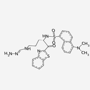 CN(C)c1cccc2c(S(=O)(=O)N[C@@H](CCCNC=NN)C(=O)c3nc4ccccc4s3)cccc12